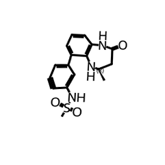 C[C@@H]1CC(=O)Nc2cccc(-c3cc#cc(NS(C)(=O)=O)c3)c2N1